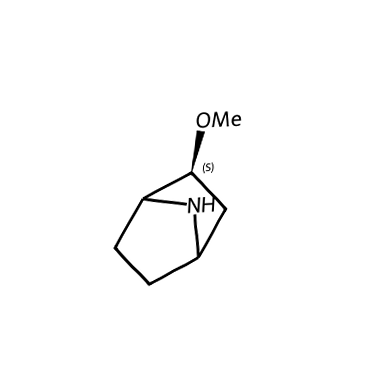 CO[C@H]1CC2CCC1N2